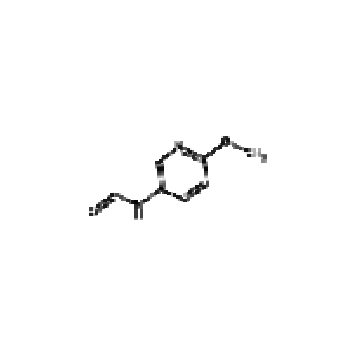 COc1ccc(NC=O)cn1